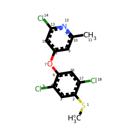 CSc1cc(Cl)c(Oc2cc(C)nc(Cl)c2)cc1Cl